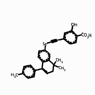 Cc1ccc(C2=CCC(C)(C)c3cc([Se]C#Cc4ccc(C(=O)O)c(O)c4)ccc32)cc1